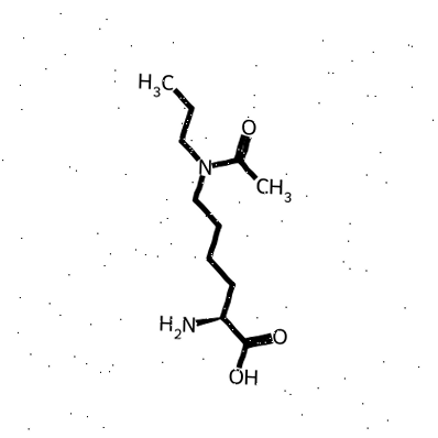 CCCN(CCCC[C@H](N)C(=O)O)C(C)=O